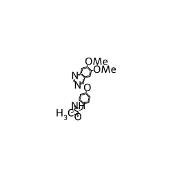 COc1cc2ncnc(Oc3ccc(CS(C)(=N)=O)cc3)c2cc1OC